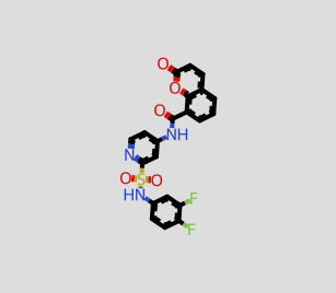 O=C(Nc1ccnc(S(=O)(=O)Nc2ccc(F)c(F)c2)c1)c1cccc2ccc(=O)oc12